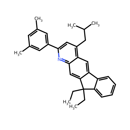 CCC1(CC)c2ccccc2-c2cc3c(CC(C)C)cc(-c4cc(C)cc(C)c4)nc3cc21